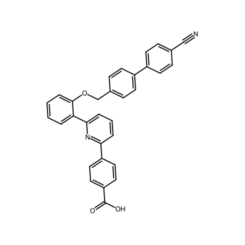 N#Cc1ccc(-c2ccc(COc3ccccc3-c3cccc(-c4ccc(C(=O)O)cc4)n3)cc2)cc1